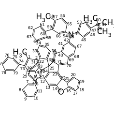 Cc1ccc(C(c2ccccc2)c2cc3oc4ccccc4c3c3c2C2(c4ccccc4-c4ccccc42)c2cc4cc(N(c5ccc(C(C)(C)C)cc5)c5ccc(C)c(-c6ccccc6)c5)ccc4cc2-3)cc1-c1ccccc1